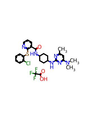 Cc1cc(N(C)C)nc(NC2CCC(NC(=O)c3cccnc3Sc3ccccc3Cl)CC2)n1.O=C(O)C(F)(F)F